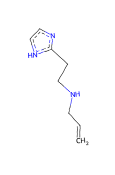 C=CCNCCc1ncc[nH]1